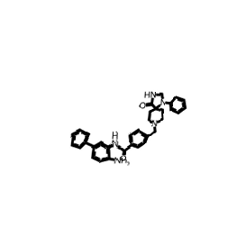 Nc1ccc(-c2ccccc2)cc1NC(=O)c1ccc(CN2CCC3(CC2)C(=O)NCN3c2ccccc2)cc1